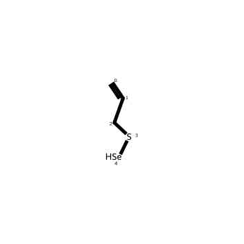 C=CCS[SeH]